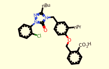 CCCCc1nn(-c2ccccc2Cl)c(=O)n1Cc1ccc(OCc2ccccc2C(=O)O)c(CCC)c1